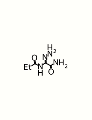 CCC(=O)NC(=NN)C(N)=O